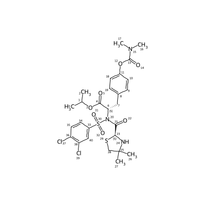 CC(C)OC(=O)[C@H](Cc1ccc(OC(=O)N(C)C)cc1)N(C(=O)[C@H]1NC(C)(C)CS1)S(=O)(=O)c1ccc(Cl)c(Cl)c1